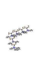 CCCN(CCC)C(=S)[S-].CCCN(CCC)C(=S)[S-].CCCN(CCC)C(=S)[S-].CCCN(CCC)C(=S)[S-].CCCN(CCC)C(=S)[S-].CCCN(CCC)C(=S)[S-].[Mo+6]